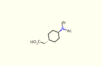 CC(=O)N(C(C)C)[C@H]1CC[C@H](CC(=O)O)CC1